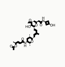 CC(=O)O[C@@H](C)C=CC(=O)N[C@@H]1C[C@H](C)[C@H](CC=C(C)C=C[C@H]2O[C@H](CC(=O)N[C@H]3C[C@@H](O)C3)C[C@@]3(CO3)[C@@H]2O)O[C@@H]1C